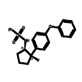 CC(C)S(=O)(=O)N[C@@H]1CCC[C@@]1(F)c1ccc(Oc2ccccc2)cc1